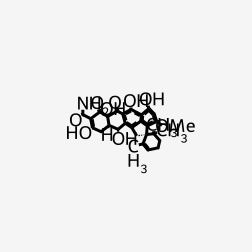 COc1cc(O)c2c(O)c3c(c4c2c1[C@]1(C4)C(C)=CCCC1(C)C)[C@@H](O)[C@H]1CC(O)=C(C(N)=O)C(=O)[C@@]1(O)C3=O